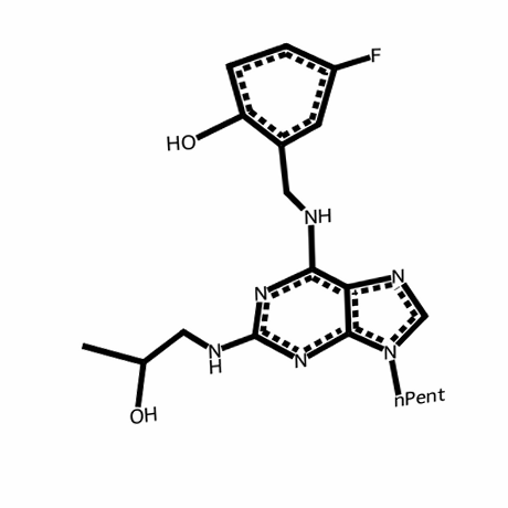 CCCCCn1cnc2c(NCc3cc(F)ccc3O)nc(NCC(C)O)nc21